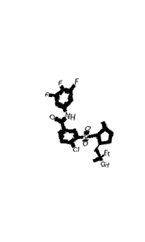 CC[C@](C)(O)C[C@@H]1CCC(C)C1S(=O)(=O)c1cc(C(=O)Nc2cc(F)c(F)c(F)c2)ccc1Cl